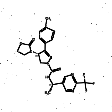 Cc1ccc(C2=NN(C(=O)N[C@H](C)c3cnc(C(F)(F)F)nc3)C[C@@H]2N2CCOC2=O)cc1